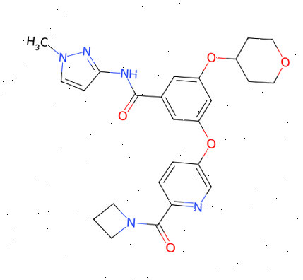 Cn1ccc(NC(=O)c2cc(Oc3ccc(C(=O)N4CCC4)nc3)cc(OC3CCOCC3)c2)n1